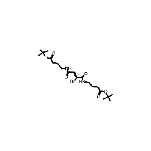 CC(C)(C)OC(=O)CCCNC(=O)/C=C(\Br)C(=O)NCCCC(=O)OC(C)(C)C